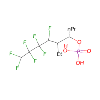 CCCC(OP(=O)(O)O)C(CC)C(F)C(F)(F)C(F)(F)C(F)F